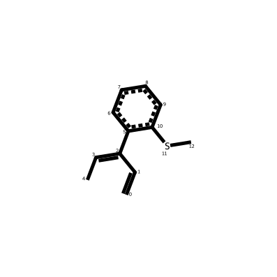 C=C/C(=C\C)c1ccccc1SC